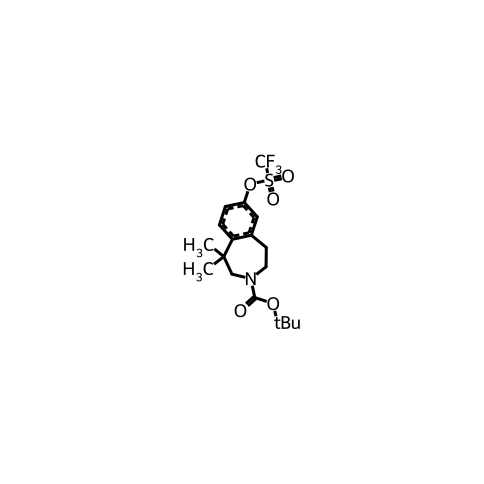 CC(C)(C)OC(=O)N1CCc2cc(OS(=O)(=O)C(F)(F)F)ccc2C(C)(C)C1